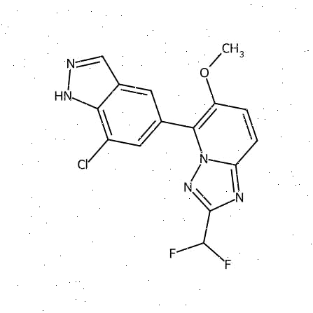 COc1ccc2nc(C(F)F)nn2c1-c1cc(Cl)c2[nH]ncc2c1